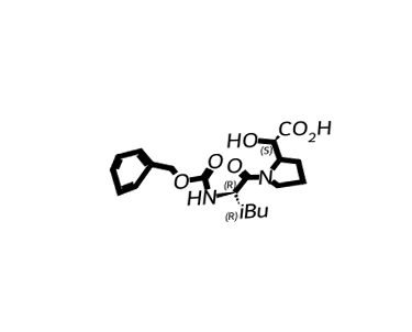 CC[C@@H](C)[C@@H](NC(=O)OCc1ccccc1)C(=O)N1CCCC1[C@H](O)C(=O)O